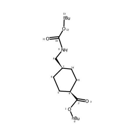 CCCCOC(=O)[C@H]1CC[C@@H](CNC(=O)OC(C)(C)C)CC1